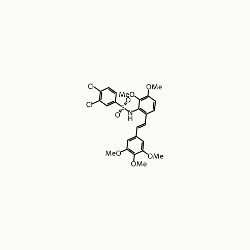 COc1cc(C=Cc2ccc(OC)c(OC)c2NS(=O)(=O)c2ccc(Cl)c(Cl)c2)cc(OC)c1OC